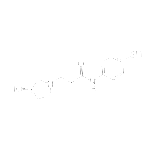 O=C(CCN1CC[C@@H](O)C1)Nc1ccc(S)cc1